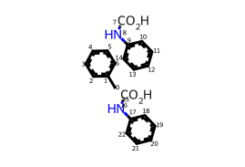 Cc1ccccc1.O=C(O)Nc1ccccc1.O=C(O)Nc1ccccc1